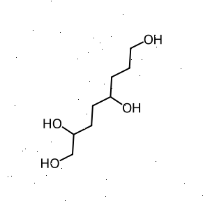 OCCCC(O)CCC(O)CO